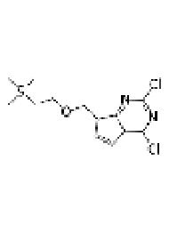 C[Si](C)(C)CCOCC1C=Cc2c(Cl)nc(Cl)nc21